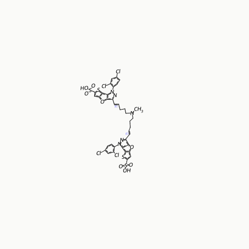 CN(CCC/C=C/c1nn(-c2ccc(Cl)cc2Cl)c2c1oc1cc(S(=O)(=O)O)sc12)CCC/C=C/c1nn(-c2ccc(Cl)cc2Cl)c2c1oc1cc(S(=O)(=O)O)sc12